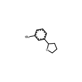 CC(C)(C)c1cccc(C2CCCO2)c1